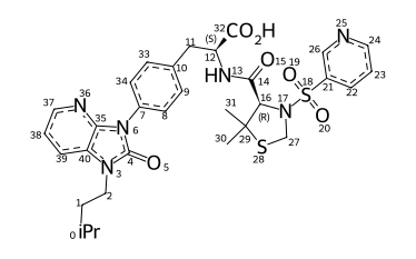 CC(C)CCn1c(=O)n(-c2ccc(C[C@H](NC(=O)[C@H]3N(S(=O)(=O)c4cccnc4)CSC3(C)C)C(=O)O)cc2)c2ncccc21